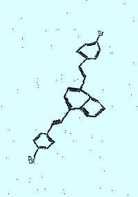 Brc1ccc(C=Cc2ccc(C=Cc3ccc(Br)cc3)c3ccccc23)cc1